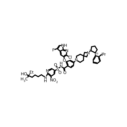 CC[C@@](C)(O)CCCCNc1ncc(S(=O)(=O)NC(=O)c2ccc(N3CCC4(CC3)CN([C@H]3CCC[C@H]3c3ccccc3C(C)C)C4)cc2Oc2cc3c(F)c[nH]c3nc2Cl)cc1[N+](=O)[O-]